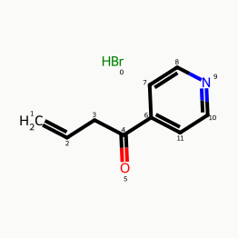 Br.C=CCC(=O)c1ccncc1